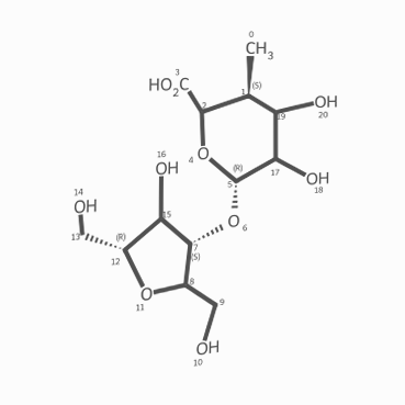 C[C@@H]1C(C(=O)O)O[C@@H](O[C@@H]2C(CO)O[C@H](CO)C2O)C(O)C1O